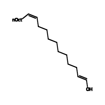 CCCCCCCC/C=C\CCCCCCCCC=CO